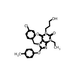 CCn1c(=O)n(CCCO)c(=O)c2c1nc(Oc1ccc(C)cc1)n2Cc1ccc(Cl)cc1